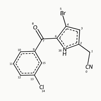 N#CCc1cc(Br)c(C(=O)c2cccc(Cl)c2)[nH]1